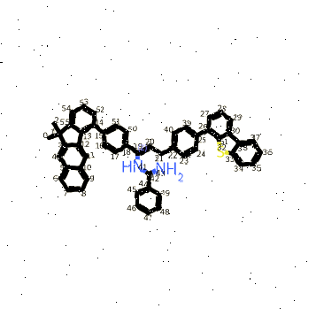 CC1(C)c2cc3ccccc3cc2-c2c(-c3ccc(/C(=C/Cc4ccc(-c5cccc6c5sc5ccccc56)cc4)NC(N)c4ccccc4)cc3)cccc21